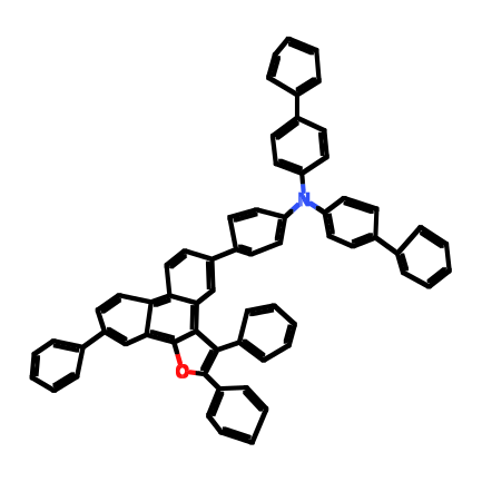 c1ccc(-c2ccc(N(c3ccc(-c4ccccc4)cc3)c3ccc(-c4ccc5c6ccc(-c7ccccc7)cc6c6oc(-c7ccccc7)c(-c7ccccc7)c6c5c4)cc3)cc2)cc1